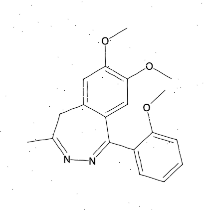 COc1cc2c(cc1OC)C(c1ccccc1OC)=NN=C(C)C2